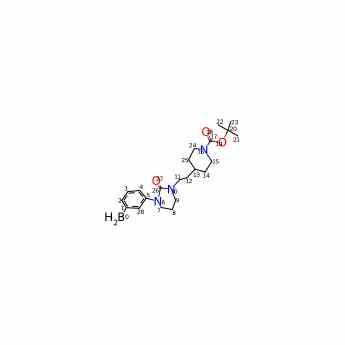 Bc1cccc(N2CCCN(CCC3CCN(C(=O)OC(C)(C)C)CC3)C2=O)c1